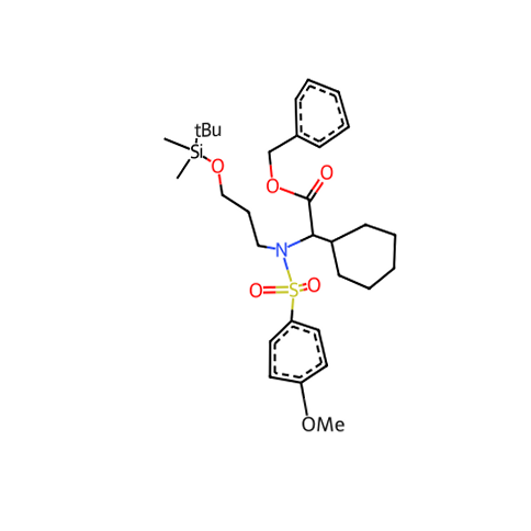 COc1ccc(S(=O)(=O)N(CCCO[Si](C)(C)C(C)(C)C)C(C(=O)OCc2ccccc2)C2CCCCC2)cc1